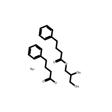 O=C(CCCc1ccccc1)OCC(O)CO.O=C([O-])CCCc1ccccc1.[Na+]